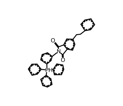 O=C1c2ccc(CCc3ccccc3)cc2C(=O)N1c1cccc([PH](c2ccccc2)(c2ccccc2)c2ccccc2)c1